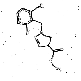 COC(=O)C1CN(Cc2c(Cl)cccc2Cl)N=N1